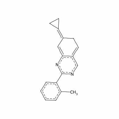 Cc1ccccc1-c1ncc2c(n1)=CC(=C1CC1)CC=2